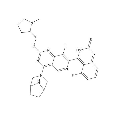 CN1CCC[C@H]1COc1nc(N2CC3CCC(C2)N3)c2cnc(-c3[nH]c(=S)cc4cccc(F)c34)c(F)c2n1